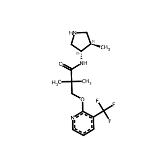 C[C@@H]1CNC[C@H]1NC(=O)C(C)(C)COc1ncccc1C(F)(F)F